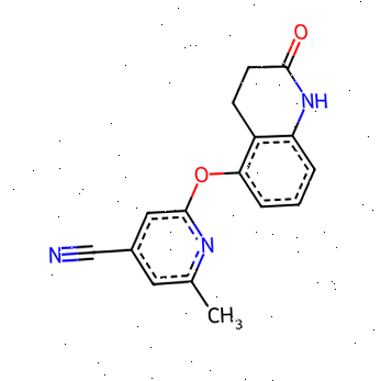 Cc1cc(C#N)cc(Oc2cccc3c2CCC(=O)N3)n1